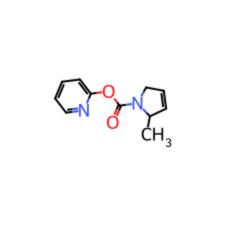 CC1C=CCN1C(=O)Oc1ccccn1